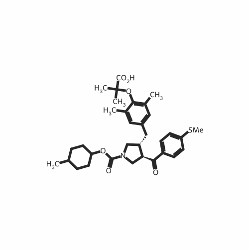 CSc1ccc(C(=O)[C@H]2CN(C(=O)OC3CCC(C)CC3)C[C@@H]2Cc2cc(C)c(OC(C)(C)C(=O)O)c(C)c2)cc1